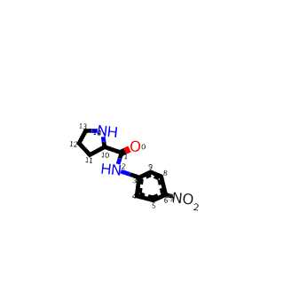 O=C(Nc1ccc([N+](=O)[O-])cc1)C1CCCN1